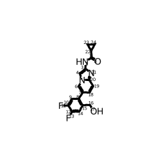 O=C(Nc1cn2cc(-c3cc(F)c(F)cc3CO)ccc2n1)C1CC1